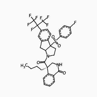 CCCC[C@]1(C(=O)N2CCC3(S(=O)(=O)c4ccc(F)cc4)c4ccc(C(F)(C(F)(F)F)C(F)(F)F)cc4CC23)CNC(=O)c2ccccc21